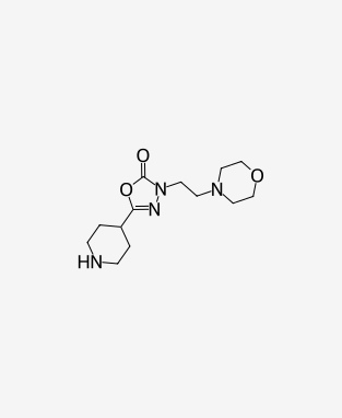 O=c1oc(C2CCNCC2)nn1CCN1CCOCC1